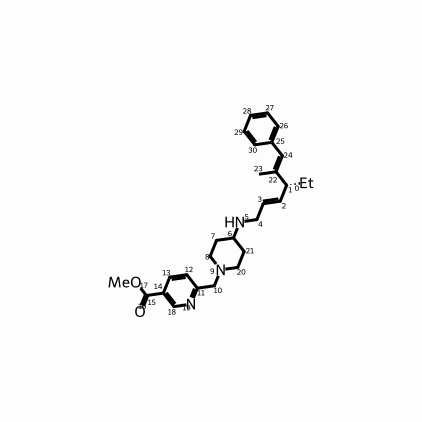 CC[C@H](/C=C/CNC1CCN(Cc2ccc(C(=O)OC)cn2)CC1)/C(C)=C/c1ccccc1